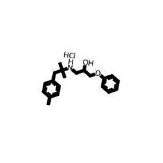 Cc1ccc(CC(C)(C)NCC(O)COc2ccccc2)cc1.Cl